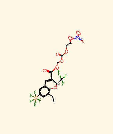 CCc1cc(S(F)(F)(F)(F)F)cc2c1O[C@H](C(F)(F)F)C(C(=O)OCOC(=O)OCCO[N+](=O)[O-])=C2